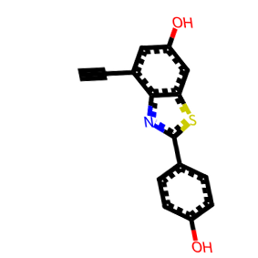 C#Cc1cc(O)cc2sc(-c3ccc(O)cc3)nc12